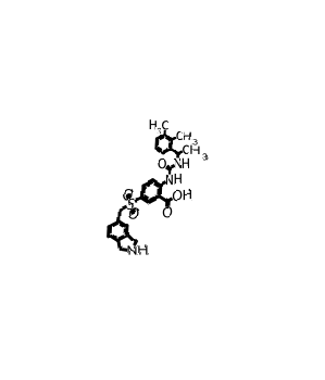 Cc1cccc(C(C)NC(=O)Nc2ccc(S(=O)(=O)Cc3ccc4c(c3)CNC4)cc2C(=O)O)c1C